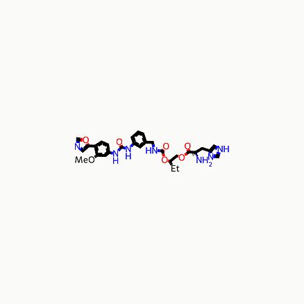 CCC(COC(=O)[C@H](N)Cc1c[nH]cn1)OC(=O)NCc1cccc(NC(=O)Nc2ccc(-c3cnco3)c(OC)c2)c1